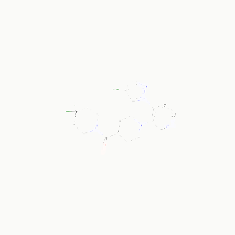 O=C(C1CCN(c2cnccc2-n2cc(Cl)cn2)CC1)N1CCC(F)(F)CC1